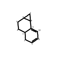 C1=CCC2CCC3CC3C2=C1